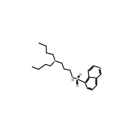 CCCCN(CCCC)CCCNS(=O)(=O)c1cccc2cnccc12